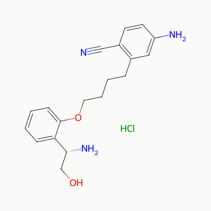 Cl.N#Cc1ccc(N)cc1CCCCOc1ccccc1[C@H](N)CO